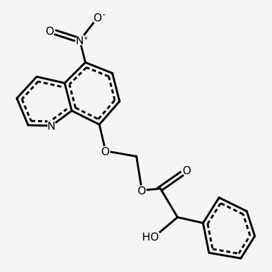 O=C(OCOc1ccc([N+](=O)[O-])c2cccnc12)C(O)c1ccccc1